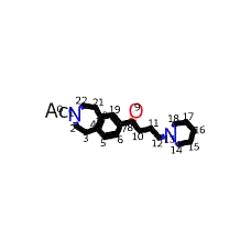 CC(=O)N1CCc2ccc(C(=O)CCCN3CCCCC3)cc2CC1